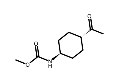 COC(=O)N[C@H]1CC[C@H](C(C)=O)CC1